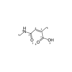 CNC(=O)/C=C(/C)C(=O)O